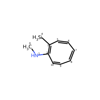 CNC1=C([SiH3])/C=C\C=C/C=C\1